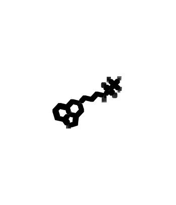 O=S(=O)(NCCCN1Cc2cccc3ncc(n23)C1)C(F)(F)F